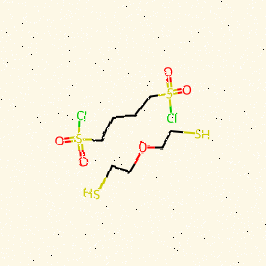 O=S(=O)(Cl)CCCCS(=O)(=O)Cl.SCCOCCS